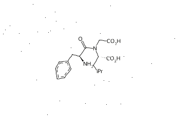 CC(C)C[C@@H](C(=O)O)N(CC(=O)O)C(=O)[C@@H](N)Cc1ccccc1